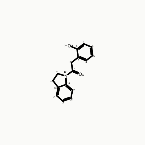 O=C(Cc1ccccc1O)N1CCc2cc[c]cc21